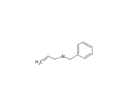 C=C[CH2][Al][CH2]c1ccccc1